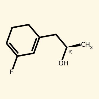 C[C@@H](O)CC1=CC(F)=CCC1